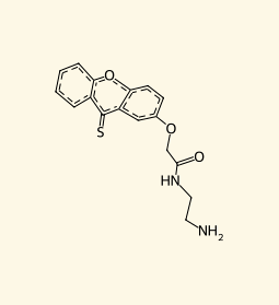 NCCNC(=O)COc1ccc2oc3ccccc3c(=S)c2c1